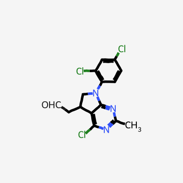 Cc1nc(Cl)c2c(n1)N(c1ccc(Cl)cc1Cl)CC2CC=O